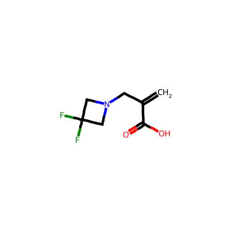 C=C(CN1CC(F)(F)C1)C(=O)O